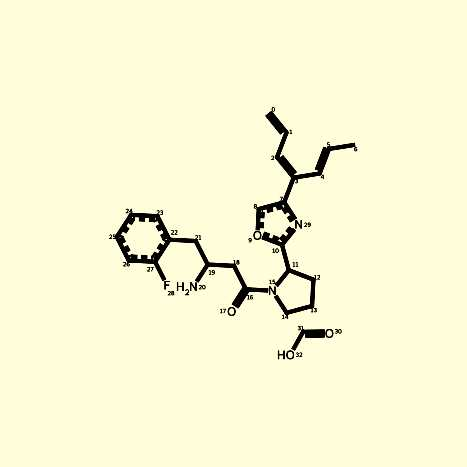 C=CC=C(C=CC)c1coc(C2CCCN2C(=O)CC(N)Cc2ccccc2F)n1.O=CO